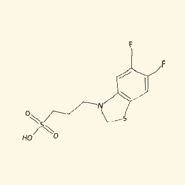 O=S(=O)(O)CCCN1CSc2cc(F)c(F)cc21